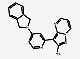 Nc1nn2cccnc2c1-c1cc(N2Cc3ccccc3C2)ncn1